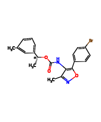 Cc1cccc([C@@H](C)OC(=O)Nc2c(C)noc2-c2ccc(Br)cc2)c1